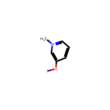 C[n+]1cccc(OI)c1